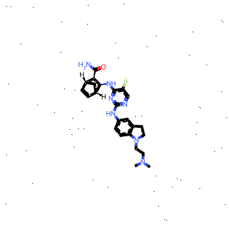 CN(C)CCN1CCc2cc(Nc3ncc(F)c(N[C@@H]4[C@H](C(N)=O)[C@H]5C=C[C@@H]4C5)n3)ccc21